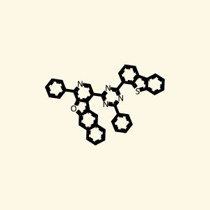 c1ccc(-c2nc(-c3cccc4c3sc3ccccc34)nc(-c3cnc(-c4ccccc4)c4oc5cc6ccccc6cc5c34)n2)cc1